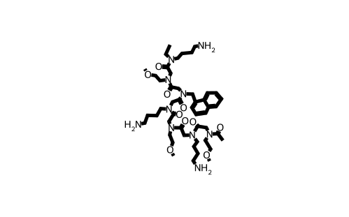 CCN(CCCCN)C(=O)CN(CCOC)C(=O)CN(Cc1cccc2ccccc12)C(=O)CN(CCCCN)C(=O)CN(CCOC)C(=O)CN(CCCCN)C(=O)CN(CCOC)C(C)=O